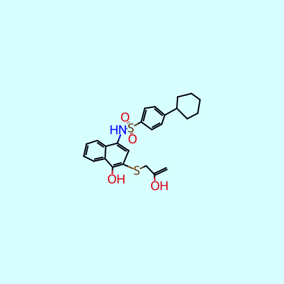 C=C(O)CSc1cc(NS(=O)(=O)c2ccc(C3CCCCC3)cc2)c2ccccc2c1O